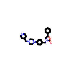 O=C1OC(c2ccccc2)CN1Cc1ccc(N2CCN(Cc3ccncc3)CC2)cc1